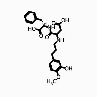 COc1ccc(CCCNC(CC(=O)O)C(=O)N[C@@H](Cc2ccccc2)C(=O)O)cc1O